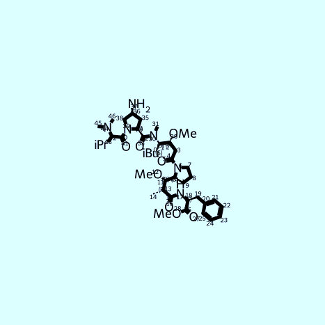 CC[C@H](C)[C@@H]([C@@H](CC(=O)N1CCC[C@H]1[C@H](OC)[C@@H](C)C(=O)N[C@@H](Cc1ccccc1)C(=O)OC)OC)N(C)C(=O)[C@@H]1C[C@H](N)CN1C(=O)C(C(C)C)N(C)C